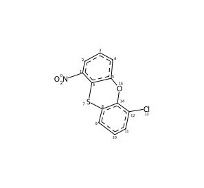 O=[N+]([O-])c1cccc2c1Sc1cccc(Cl)c1O2